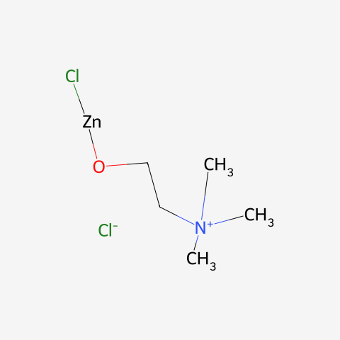 C[N+](C)(C)CC[O][Zn][Cl].[Cl-]